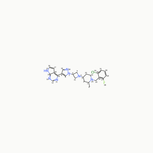 CC1CC(N2CC(n3cc(-c4ncnc5[nH]ccc45)cn3)C2)CCN1Cc1c(F)cccc1Cl